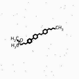 C=CC(=O)N(C)CCCc1ccc(C2CCC(CCC3CCC(CCCCC)CC3)CC2)cc1